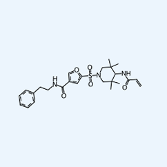 C=CC(=O)NC1C(C)(C)CN(S(=O)(=O)c2cc(C(=O)NCCc3ccccc3)co2)CC1(C)C